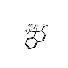 NC1(S(=O)(=O)O)c2ccccc2C=CC1O